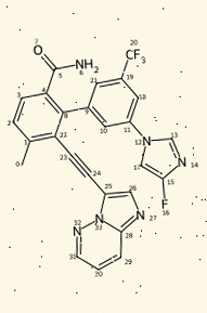 Cc1ccc(C(N)=O)c(-c2cc(-n3cnc(F)c3)cc(C(F)(F)F)c2)c1C#Cc1cnc2cccnn12